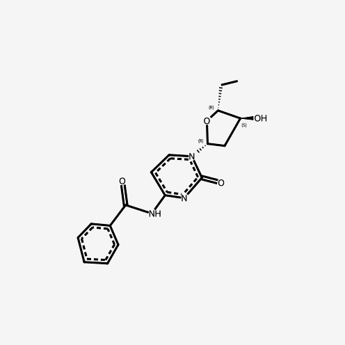 CC[C@H]1O[C@@H](n2ccc(NC(=O)c3ccccc3)nc2=O)C[C@@H]1O